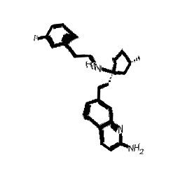 C[C@H]1CC[C@](CCc2ccc3ccc(N)nc3c2)(NCCc2cccc(F)c2)C1